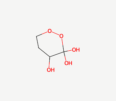 OC1CCOOC1(O)O